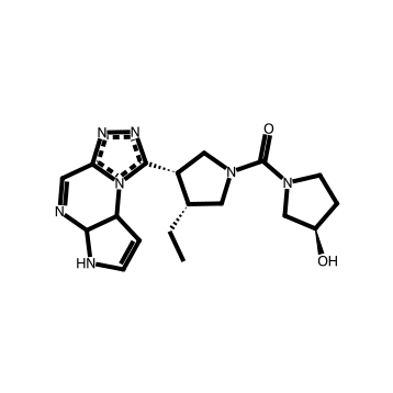 CC[C@H]1CN(C(=O)N2CC[C@@H](O)C2)C[C@H]1c1nnc2n1C1C=CNC1N=C2